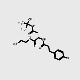 CC(C)(C)NC(=O)C[C@H](NC(=O)CCc1ccc(F)cc1)C(=O)NCCN